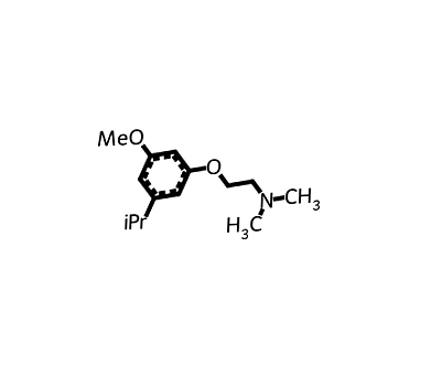 COc1cc(OCCN(C)C)cc(C(C)C)c1